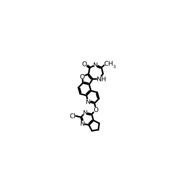 CC1=NC(=O)c2oc3ccc4nc(Oc5nc(Cl)nc6c5CCC6)ccc4c3c2NC1